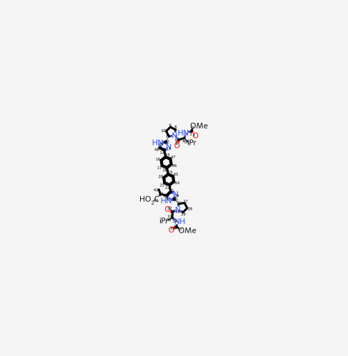 COC(=O)N[C@H](C(=O)N1CCC[C@H]1c1nc(-c2ccc(-c3ccc(-c4nc([C@@H]5CCCN5C(=O)[C@@H](NC(=O)OC)C(C)C)[nH]c4C(C)C(=O)O)cc3)cc2)c[nH]1)C(C)C